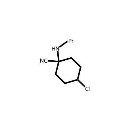 CC(C)NC1(C#N)CCC(Cl)CC1